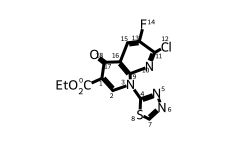 CCOC(=O)c1cn(-c2nncs2)c2nc(Cl)c(F)cc2c1=O